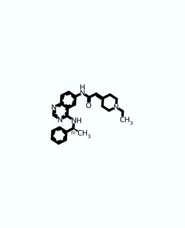 CCN1CCC(=CC(=O)Nc2ccc3ncnc(N[C@@H](C)c4ccccc4)c3c2)CC1